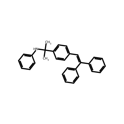 CC(C)(Nc1ccccc1)c1ccc(C=C(c2ccccc2)c2ccccc2)cc1